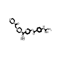 Cl.Cl.N=C(N)Nc1ccc(C(=O)Oc2ccc(C(=O)N3CCN(CC(=O)N4CCOCC4)CC3)cc2)cc1